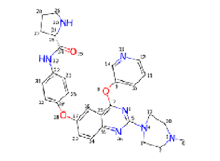 CN1CCN(c2nc(Oc3cccnc3)c3cc(Oc4ccc(NC(=O)[C@@H]5CCCN5)cc4)ccc3n2)CC1